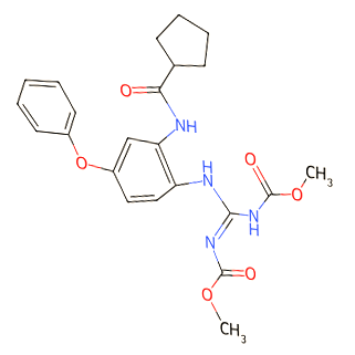 COC(=O)N=C(NC(=O)OC)Nc1ccc(Oc2ccccc2)cc1NC(=O)C1CCCC1